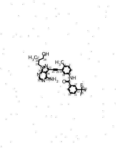 Cc1ccc(NC(=O)c2cccc(C(F)(F)F)c2)cc1C#Cc1nn(C[C@H](C)CO)c2ncnc(N)c12